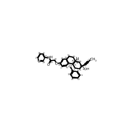 CC#C[C@@]1(O)CC[C@@]2(Cc3ccccc3)c3ccc(OCC(=O)Nc4cccnc4)cc3CC[C@@H]2C1